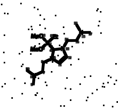 CC[Si](OC)(OC)C1N(CCN(C)C)C=CN1CCN(C)C